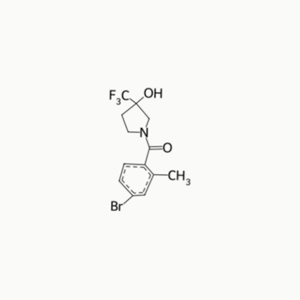 Cc1cc(Br)ccc1C(=O)N1CCC(O)(C(F)(F)F)C1